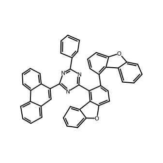 c1ccc(-c2nc(-c3cc4ccccc4c4ccccc34)nc(-c3c(-c4cccc5oc6ccccc6c45)ccc4oc5ccccc5c34)n2)cc1